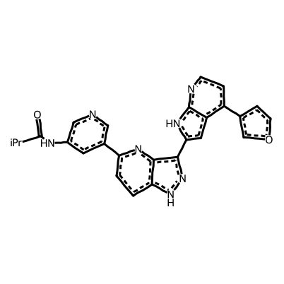 CC(C)C(=O)Nc1cncc(-c2ccc3[nH]nc(-c4cc5c(-c6ccoc6)ccnc5[nH]4)c3n2)c1